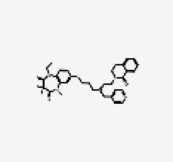 CCN1C(=O)C(C)(C)C(=O)N(C)c2cc(OCCCN(CCN3CCc4ccccc4C3=O)Cc3ccncc3)ccc21